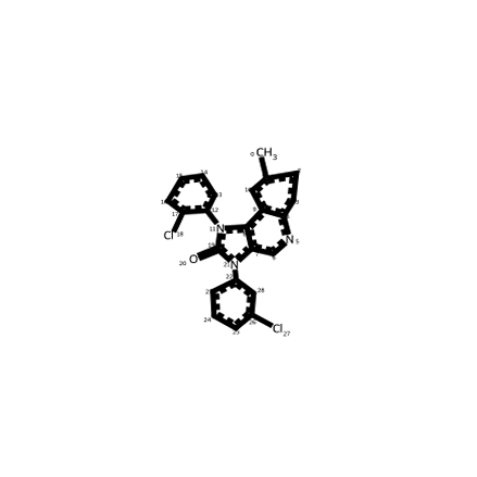 Cc1ccc2ncc3c(c2c1)n(-c1ccccc1Cl)c(=O)n3-c1cccc(Cl)c1